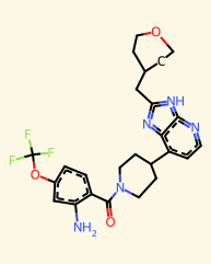 Nc1cc(OC(F)(F)F)ccc1C(=O)N1CCC(c2ccnc3[nH]c(CC4CCOCC4)nc23)CC1